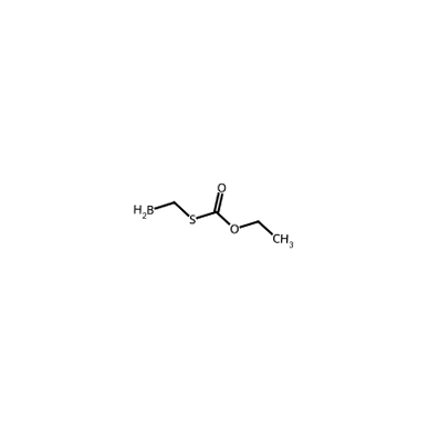 BCSC(=O)OCC